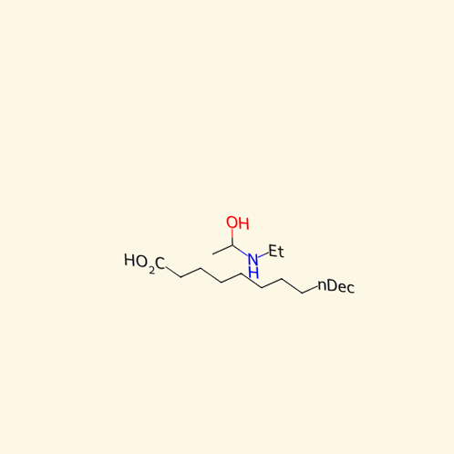 CCCCCCCCCCCCCCCCCC(=O)O.CCNC(C)O